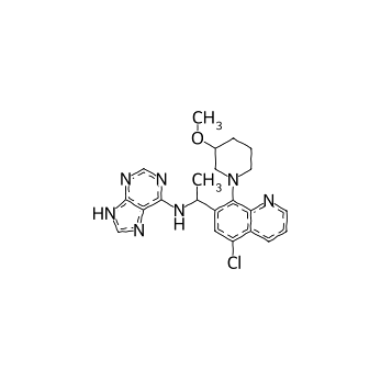 COC1CCCN(c2c(C(C)Nc3ncnc4[nH]cnc34)cc(Cl)c3cccnc23)C1